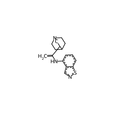 C=C(Nc1cccc2sncc12)C1CN2CCC1CC2